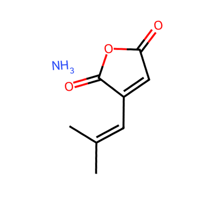 CC(C)=CC1=CC(=O)OC1=O.N